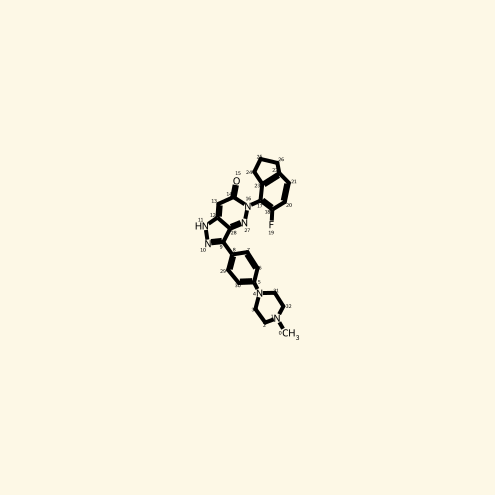 CN1CCN(c2ccc(-c3n[nH]c4cc(=O)n(-c5c(F)ccc6c5CCC6)nc34)cc2)CC1